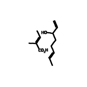 C/C=C(\C)C(=O)O.C=CC(O)CCC=CC